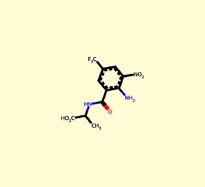 CC(NC(=O)c1cc(C(F)(F)F)cc([N+](=O)[O-])c1N)C(=O)O